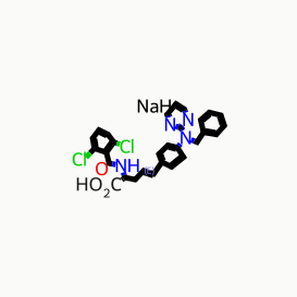 O=C(NC(C/C=C/c1ccc(N(Cc2ccccc2)c2ncccn2)cc1)C(=O)O)c1c(Cl)cccc1Cl.[NaH]